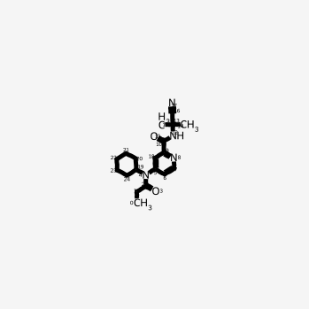 CCC(=O)N(c1ccnc(C(=O)NC(C)(C)C#N)c1)C1CCCCC1